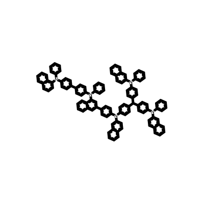 c1ccc(N(c2ccc(C(c3ccc(N(c4ccccc4)c4ccc5ccccc5c4)cc3)c3ccc(N(c4ccc(-c5cc(N(c6ccccc6)c6ccc(-c7ccc(N(c8ccccc8)c8cccc9ccccc89)cc7)cc6)c6ccccc6c5)cc4)c4ccc5ccccc5c4)cc3)cc2)c2ccc3ccccc3c2)cc1